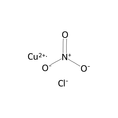 O=[N+]([O-])[O-].[Cl-].[Cu+2]